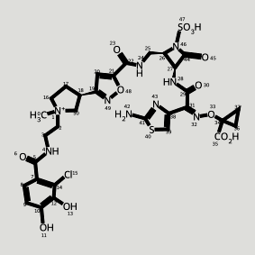 C[N+]1(CCNC(=O)c2ccc(O)c(O)c2Cl)CC[C@@H](c2cc(C(=O)NC[C@@H]3[C@H](NC(=O)/C(=N\OC4(C(=O)O)CC4)c4csc(N)n4)C(=O)N3S(=O)(=O)O)on2)C1